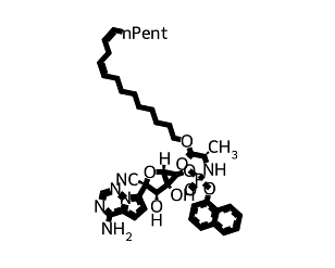 CCCCC/C=C\C/C=C\CCCCCCCCOC(=O)[C@H](C)NP(=O)(Oc1cccc2ccccc12)OC1[C@H]2O[C@@](C#N)(c3ccc4c(N)ncnn34)[C@H](O)[C@@]12O